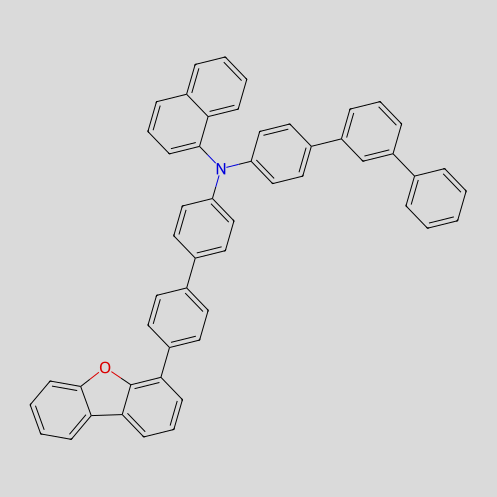 c1ccc(-c2cccc(-c3ccc(N(c4ccc(-c5ccc(-c6cccc7c6oc6ccccc67)cc5)cc4)c4cccc5ccccc45)cc3)c2)cc1